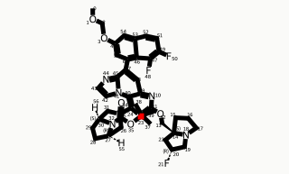 COCOc1cc(-c2cc3nc(OC[C@@]45CCCN4C[C@H](F)C5)nc(N4C[C@H]5CC[C@@H](C4)N5C(=O)OC(C)(C)C)c3n3ccnc23)c2c(F)c(F)ccc2c1